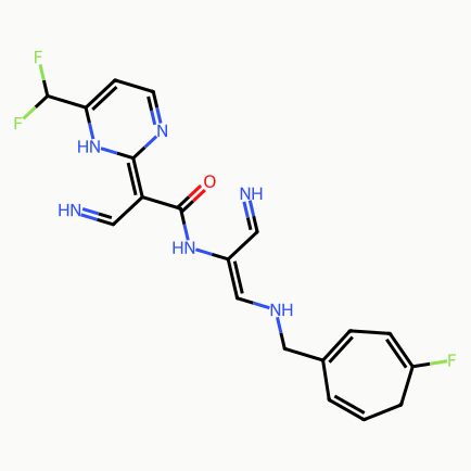 N=C/C(C(=O)N/C(C=N)=C/NCC1=CC=C(F)CC=C1)=C1/N=CC=C(C(F)F)N1